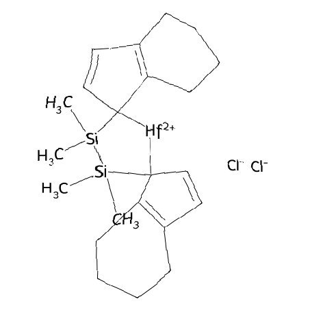 C[Si]1(C)[C]2(C=CC3=C2CCCC3)[Hf+2][C]2(C=CC3=C2CCCC3)[Si]1(C)C.[Cl-].[Cl-]